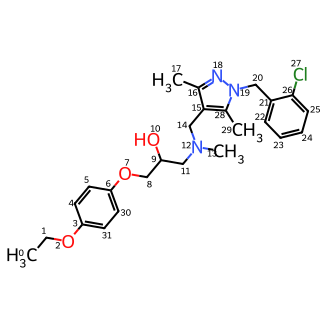 CCOc1ccc(OCC(O)CN(C)Cc2c(C)nn(Cc3ccccc3Cl)c2C)cc1